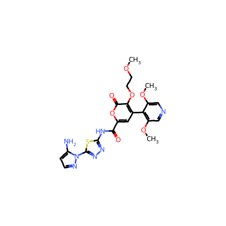 COCCOc1c(-c2c(OC)cncc2OC)cc(C(=O)Nc2nnc(-n3nccc3N)s2)oc1=O